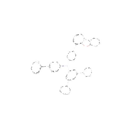 c1ccc(-c2ccc(N(c3ccc(-c4cccc5c4oc4ccccc45)cc3)c3cc(-c4ccccc4)cc(-c4ccccc4)c3)cc2)cc1